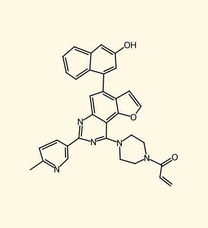 C=CC(=O)N1CCN(c2nc(-c3ccc(C)nc3)nc3cc(-c4cc(O)cc5ccccc45)c4ccoc4c23)CC1